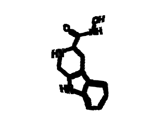 O=C(NO)C1Cc2c([nH]c3ccccc23)CN1